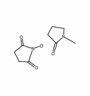 CN1CCCC1=O.O=C1CCC(=O)N1Cl